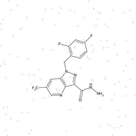 NNC(=O)c1nn(Cc2ccc(F)cc2F)c2cc(C(F)(F)F)cnc12